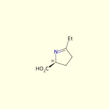 CCC1=N[C@H](C(=O)O)CC1